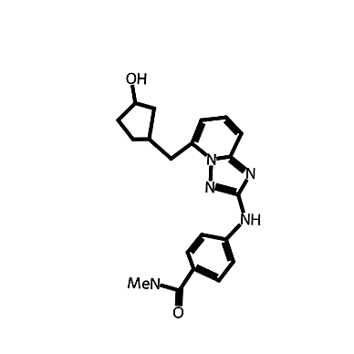 CNC(=O)c1ccc(Nc2nc3cccc(CC4CCC(O)C4)n3n2)cc1